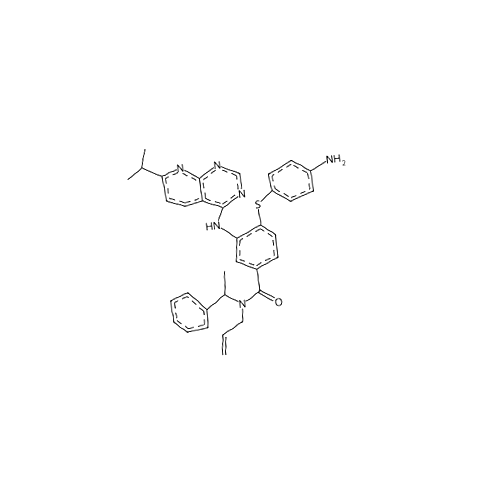 C=CCN(C(=O)c1ccc(Sc2ccc(N)cc2)c(Nc2ncnc3nc(C(C)C)ccc23)c1)C(C)c1ccccc1